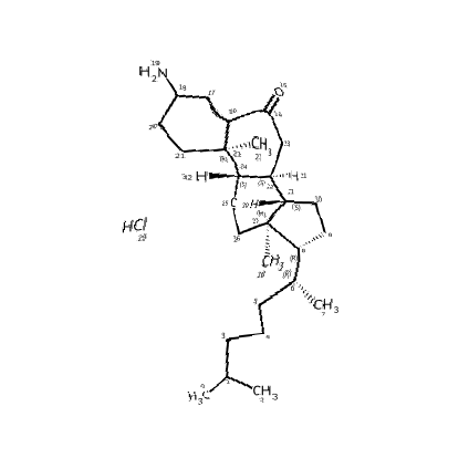 CC(C)CCC[C@@H](C)[C@H]1CC[C@H]2[C@@H]3CC(=O)C4CC(N)CC[C@]4(C)[C@H]3CC[C@]12C.Cl